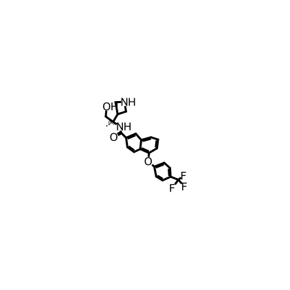 C[C@@](CO)(NC(=O)c1ccc2c(Oc3ccc(C(F)(F)F)cc3)cccc2c1)C1CNC1